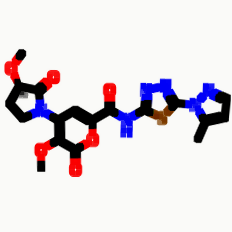 COc1c(N2CC[C@@H](OC)C2=O)cc(C(=O)Nc2nnc(-n3nccc3C)s2)oc1=O